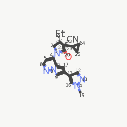 CC[C@H]1CN(c2ccnn3cc(-c4cnn(C)c4)cc23)C(=O)[C@@]1(C#N)C1CC1